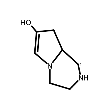 OC1=CN2CCN[C]C2C1